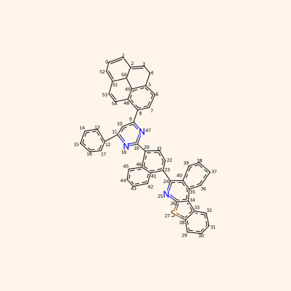 C1=CC2=CCc3ccc(-c4cc(-c5ccccc5)nc(-c5ccc(-c6nc7sc8ccccc8c7c7ccccc67)c6ccccc56)n4)c4c3C2C(=C1)C=C4